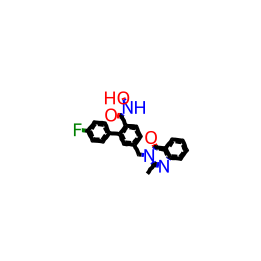 Cc1nc2ccccc2c(=O)n1Cc1ccc(C(=O)NO)c(-c2ccc(F)cc2)c1